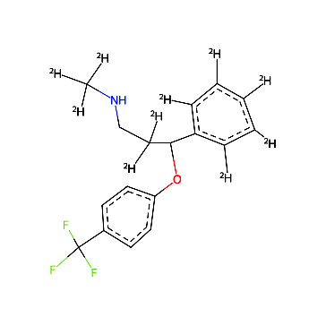 [2H]c1c([2H])c([2H])c(C(Oc2ccc(C(F)(F)F)cc2)C([2H])([2H])CNC([2H])([2H])[2H])c([2H])c1[2H]